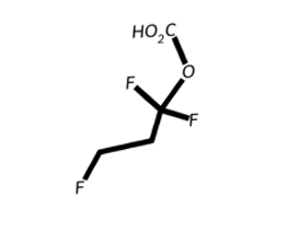 O=C(O)OC(F)(F)CCF